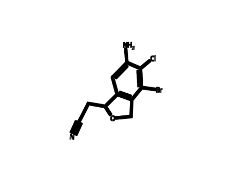 N#CCC1OCc2c1cc(N)c(Cl)c2Br